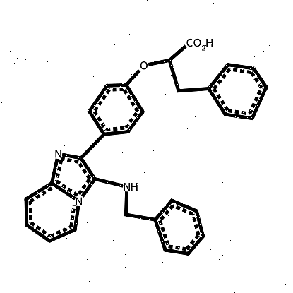 O=C(O)C(Cc1ccccc1)Oc1ccc(-c2nc3ccccn3c2NCc2ccccc2)cc1